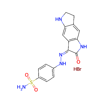 Br.NS(=O)(=O)c1ccc(N/N=C2\C(=O)Nc3cc4c(cc32)NCC4)cc1